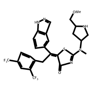 COCC1CC(N(C)C2=NC(=O)C(=C(Cc3ccc(C(F)(F)F)cc3C(F)(F)F)c3ccc4[nH]ncc4c3)S2)CN1